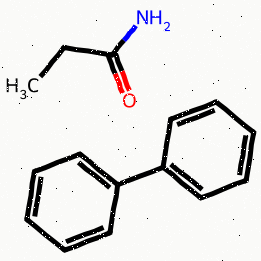 CCC(N)=O.c1ccc(-c2ccccc2)cc1